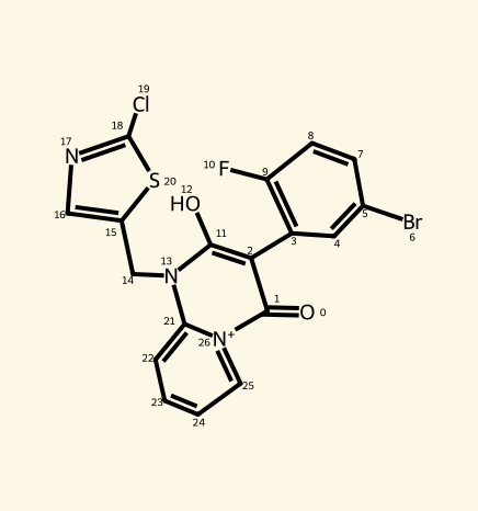 O=c1c(-c2cc(Br)ccc2F)c(O)n(Cc2cnc(Cl)s2)c2cccc[n+]12